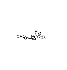 CC(C)(C)OC(=O)Nc1nc(CCOC=O)cs1